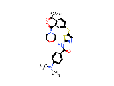 COC(=O)c1ccc(Sc2cnc(NC(=O)c3ccc(N(C)C)cc3)s2)cc1C(=O)N1CCOCC1